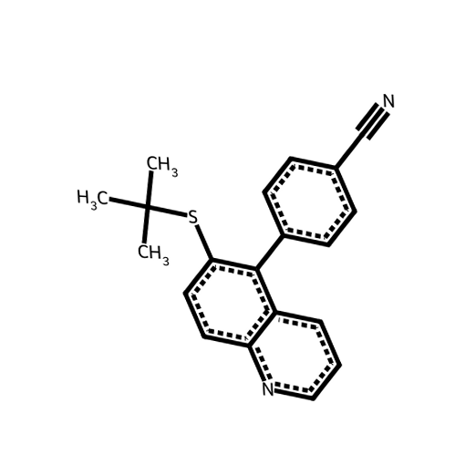 CC(C)(C)Sc1ccc2ncccc2c1-c1ccc(C#N)cc1